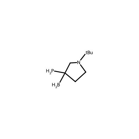 BC1(P)CCN(C(C)(C)C)C1